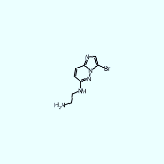 NCCNc1ccc2ncc(Br)n2n1